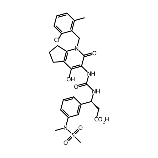 Cc1cccc(Cl)c1Cn1c2c(c(O)c(NC(=O)N[C@@H](CC(=O)O)c3cccc(N(C)S(C)(=O)=O)c3)c1=O)CCC2